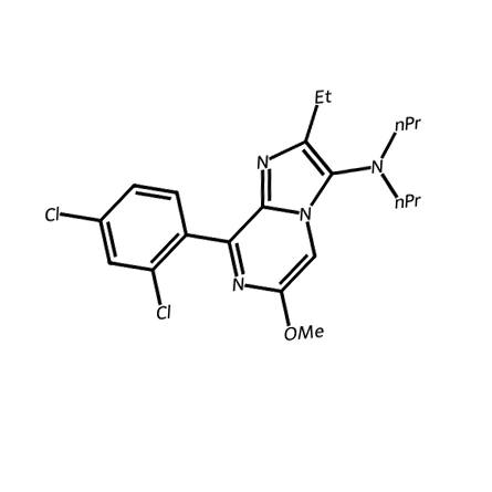 CCCN(CCC)c1c(CC)nc2c(-c3ccc(Cl)cc3Cl)nc(OC)cn12